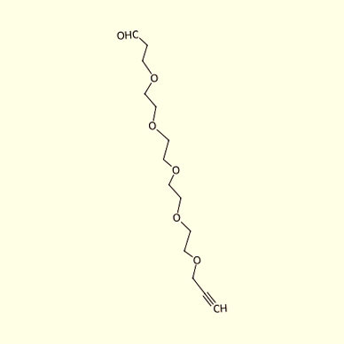 C#CCOCCOCCOCCOCCOCCC=O